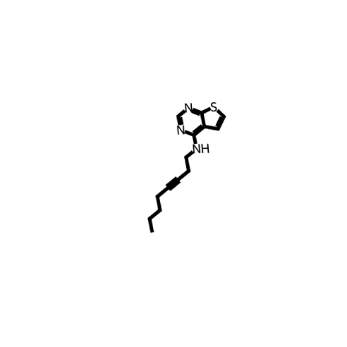 CCCCC#CCCNc1ncnc2sccc12